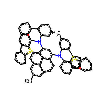 Cc1ccc(-c2ccccc2)c(N(c2cc(N(c3ccccc3-c3ccccc3)c3cccc4c3sc3ccccc34)c3ccc4cc(C(C)(C)C)cc5ccc2c3c45)c2cccc3c2sc2ccccc23)c1